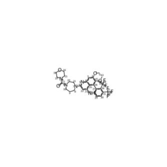 COc1cc2nc(N3CCCN(C(=O)N4CCOCC4)CC3)cc(N)c2c(-c2cccc(C(F)(F)F)c2C(F)(F)F)c1OC